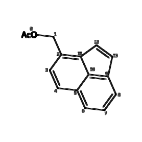 CC(=O)OCc1ccc2cccc3c2c1C=C3